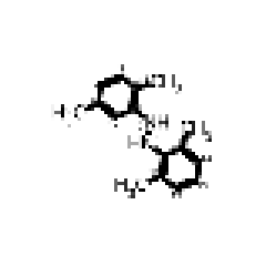 Cc1ccc(C)c(NNc2c(C)cccc2C)c1